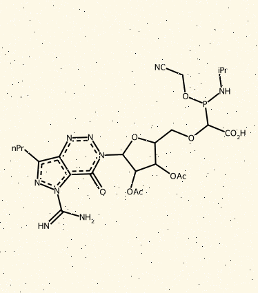 CCCc1nn(C(=N)N)c2c(=O)n(C3OC(COC(C(=O)O)P(NC(C)C)OCC#N)C(OC(C)=O)C3OC(C)=O)nnc12